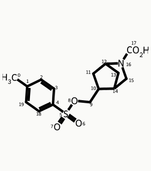 Cc1ccc(S(=O)(=O)OCC2CC3CC2CN3C(=O)O)cc1